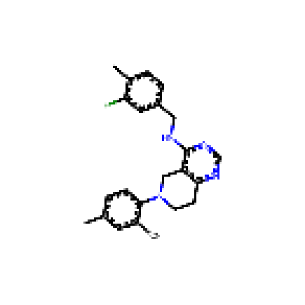 Cc1ccc(N2CCc3ncnc(NCc4ccc(C)c(F)c4)c3C2)c(C#N)c1